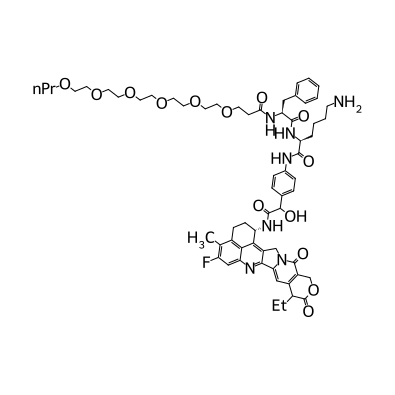 CCCOCCOCCOCCOCCOCCOCCC(=O)N[C@@H](Cc1ccccc1)C(=O)N[C@@H](CCCCN)C(=O)Nc1ccc(C(O)C(=O)N[C@H]2CCc3c(C)c(F)cc4nc5c(c2c34)Cn2c-5cc3c(c2=O)COC(=O)C3CC)cc1